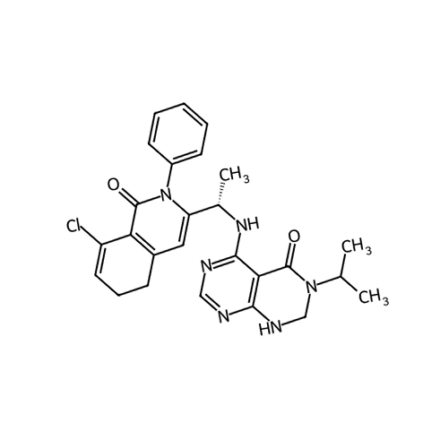 CC(C)N1CNc2ncnc(N[C@@H](C)c3cc4c(c(=O)n3-c3ccccc3)C(Cl)=CCC4)c2C1=O